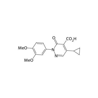 COc1ccc(-n2ncc(C3CC3)c(C(=O)O)c2=O)cc1OC